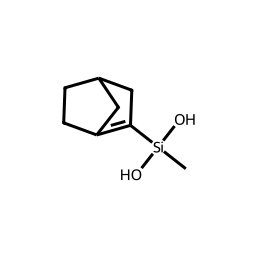 C[Si](O)(O)C1=C2CCC(C2)C1